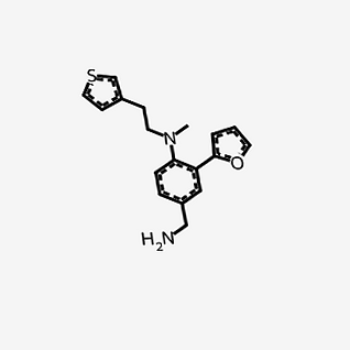 CN(CCc1ccsc1)c1ccc(CN)cc1-c1ccco1